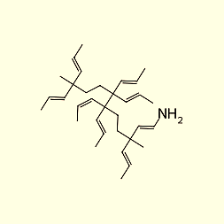 CC=CC(C)(C=CC)CCC(C=CC)(C=CC)C(C=CC)(C=CC)CCC(C)(C=CC)C=CN